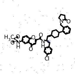 CS(=O)(=O)Nc1ccc2oc(C(=O)N/C(C=C3CCC(c4ccccc4CN4CCCC4=O)CC3)=C\c3ccc(Cl)cc3)cc(=O)c2c1